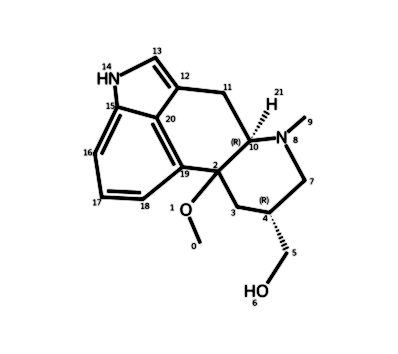 COC12C[C@@H](CO)CN(C)[C@@H]1Cc1c[nH]c3cccc2c13